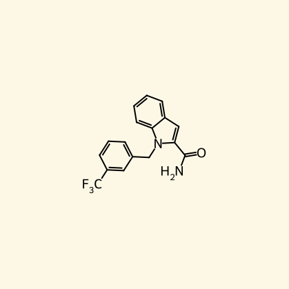 NC(=O)c1cc2ccccc2n1Cc1cccc(C(F)(F)F)c1